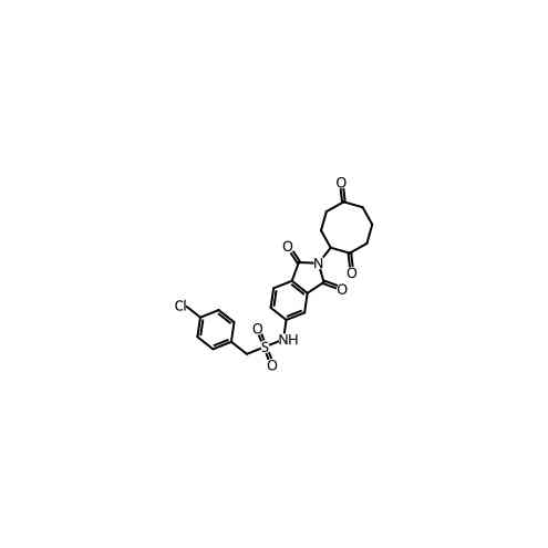 O=C1CCCC(=O)C(N2C(=O)c3ccc(NS(=O)(=O)Cc4ccc(Cl)cc4)cc3C2=O)CC1